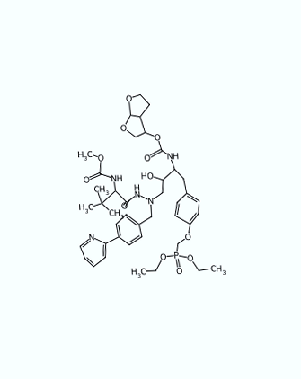 CCOP(=O)(COc1ccc(CC(NC(=O)OC2COC3OCCC23)C(O)CN(Cc2ccc(-c3ccccn3)cc2)NC(=O)C(NC(=O)OC)C(C)(C)C)cc1)OCC